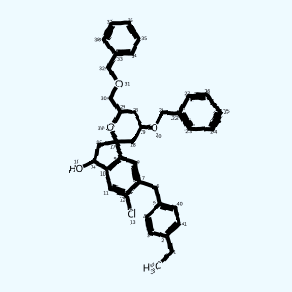 CCc1ccc(Cc2cc3c(cc2Cl)C(O)CC32CC(OCc3ccccc3)CC(COCc3ccccc3)O2)cc1